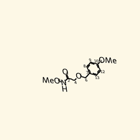 CONC(=O)COCc1ccc(OC)cc1